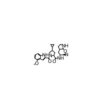 COc1cccc2[nH]c(C(=O)N3CC(C4CC4)CC3C(=O)NC(C#N)CC3CCNC3=O)cc12